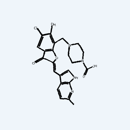 Cc1ccc2c(/C=C3\Oc4c(cc(Cl)c(O)c4CN4CCN(C(=O)O)CC4)C3=O)c[nH]c2n1